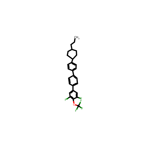 CCCC1CCC(c2ccc(-c3ccc(-c4cc(F)c(OC(F)(F)F)c(F)c4)cc3)cc2)CC1